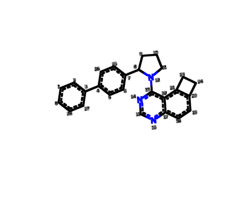 c1ccc(-c2ccc(C3CCCN3c3ncnc4ccc5c(c34)CC5)cc2)cc1